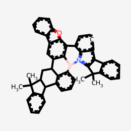 CC1(C)c2ccccc2-c2c1n1c3c(cccc23)-c2c3c(cc4c2oc2ccccc24)C2CC4C(c5ccccc5C4(C)C)c4cccc(c42)B31